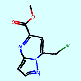 COC(=O)c1cc(CBr)n2nccc2n1